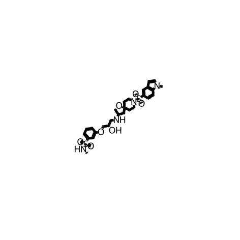 CNS(=O)(=O)c1cccc(OCC(O)CNC2COC3(CCN(S(=O)(=O)c4ccc5c(ccn5C)c4)CC3)C2)c1